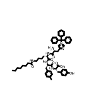 CCCCCCCC(=O)NCCCC[C@H](NC(=O)[C@H](N)Cc1cn(C(c2ccccc2)(c2ccccc2)c2ccccc2)cn1)C(=O)N[C@H](Cc1ccc(C)cc1)C(=O)N[C@@H](Cc1ccc(O)cc1)C(=O)O